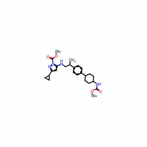 CC(CNc1cc(C2CC2)nn1C(=O)OC(C)(C)C)c1ccc(C2CCC(NC(=O)OC(C)(C)C)CC2)cc1